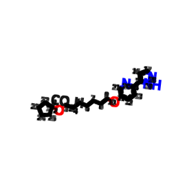 O=C(O)C1(OCCCCCCCOc2ccc(-c3ccn[nH]3)nc2)CCCC1